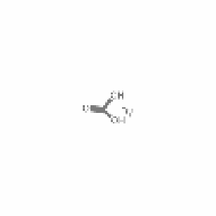 O=C(O)O.[Dy]